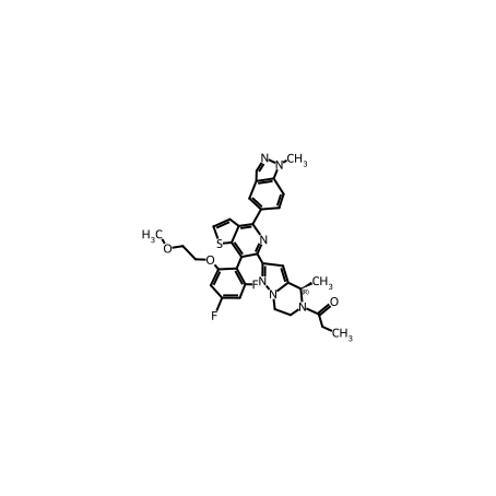 CCC(=O)N1CCn2nc(-c3nc(-c4ccc5c(cnn5C)c4)c4ccsc4c3-c3c(F)cc(F)cc3OCCOC)cc2[C@H]1C